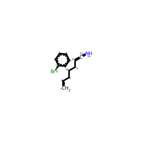 Brc1ccccc1.C=CCCCC=C=N